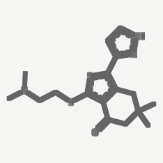 CN(C)CCSc1sc(-c2cc[nH]n2)c2c1C(=O)CC(C)(C)C2